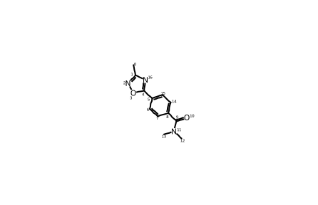 Cc1noc(-c2ccc(C(=O)N(C)C)cc2)n1